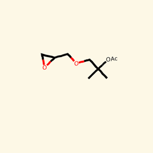 CC(=O)OC(C)(C)COCC1CO1